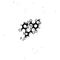 CCNC(=O)c1c(NC(=O)c2cc(C(F)(F)F)nn2-c2ncccc2Cl)c(Cl)cc2c1OCO2